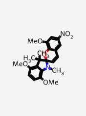 COc1cc([N+](=O)[O-])cc2c1OC1(C=C2)N(C)c2c(OC)ccc(OC)c2C1(C)C